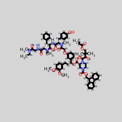 C=CC(=O)OCC(C)(C)C(=O)C(=O)N1CCN(C(=O)OCC2c3ccccc3-c3ccccc32)C[C@H]1C(=O)O[C@H](CCc1ccc(OC)c(OC)c1)c1cccc(OCC(=O)N(C)[C@@H](Cc2ccc(O)cc2)C(=O)N[C@H](Cc2ccccc2)C(=O)N(C)CC(=O)NCC(=O)N(C)CC)c1